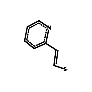 [S]C=Cc1ccccn1